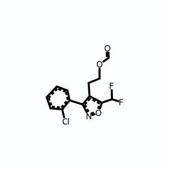 O=COCCc1c(-c2ccccc2Cl)noc1C(F)F